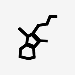 CCCCC1=C(C)C2=C(CCCC2)[C]1C